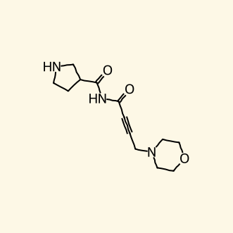 O=C(C#CCN1CCOCC1)NC(=O)C1CCNC1